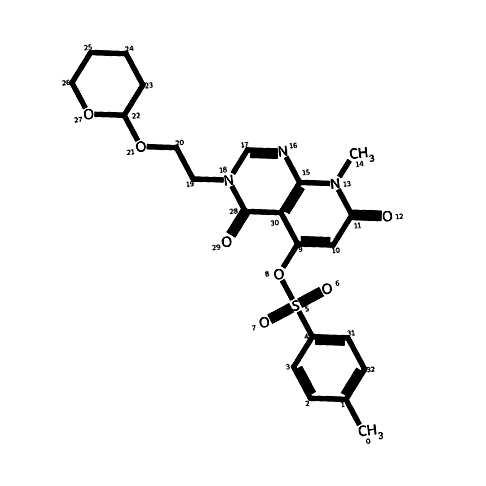 Cc1ccc(S(=O)(=O)Oc2cc(=O)n(C)c3ncn(CCOC4CCCCO4)c(=O)c23)cc1